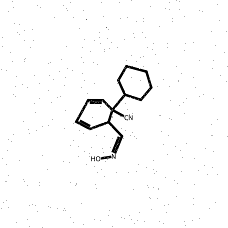 N#CC1(C2CCCCC2)C=CC=CC1/C=N\O